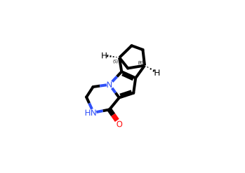 O=C1NCCn2c1cc1c2[C@H]2CC[C@@H]1C2